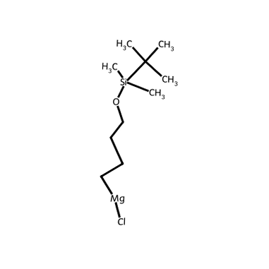 CC(C)(C)[Si](C)(C)OCCC[CH2][Mg][Cl]